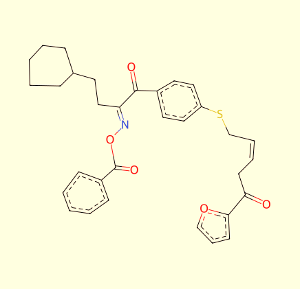 O=C(O/N=C(\CCC1CCCCC1)C(=O)c1ccc(SC/C=C\CC(=O)c2ccco2)cc1)c1ccccc1